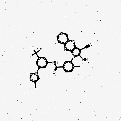 Cc1cn(-c2cc(NC(=O)c3ccc(C)c(-n4c(N)c(C#N)c5nc6ccccc6nc54)c3)cc(C(F)(F)F)c2)cn1